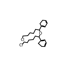 ClCCCCCC(OC(CCCCCCl)C1=CC=CCC1)C1=CC=CCC1